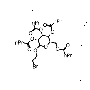 CCCC(=O)OC[C@H]1OC(OCCBr)[C@H](OC(=O)CCC)[C@@H](OC(=O)CCC)[C@@H]1OC(=O)CCC